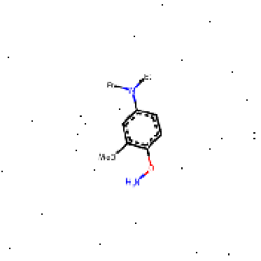 CCN(CC)c1ccc(ON)c(OC)c1